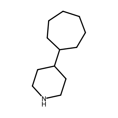 C1CCCC(C2CCNCC2)CC1